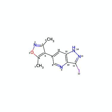 Cc1noc(C)c1-c1cnc2c(I)n[nH]c2c1